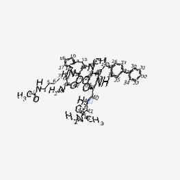 CC(=O)NCCCC[C@H](NC(=O)[C@@H](Cc1cccs1)N(C)C(=O)[C@@H](Cc1ccc(-c2ccccc2)cc1)NC(=O)/C=C/CC(C)(C)N)C(N)=O